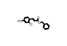 O=C(/C=C/c1ccc(O)cc1Cl)OCc1ccccc1